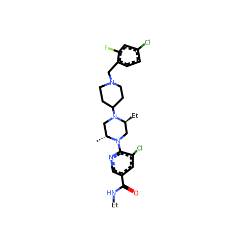 CCNC(=O)c1cnc(N2C[C@H](CC)N(C3CCN(Cc4ccc(Cl)cc4F)CC3)C[C@H]2C)c(Cl)c1